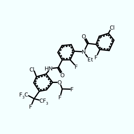 CCN(C(=O)c1cc(Cl)ccc1F)c1cccc(C(=O)Nc2c(Cl)cc(C(F)(C(F)(F)F)C(F)(F)F)cc2OC(F)F)c1F